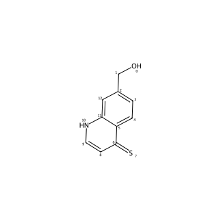 OCc1ccc2c(=S)cc[nH]c2c1